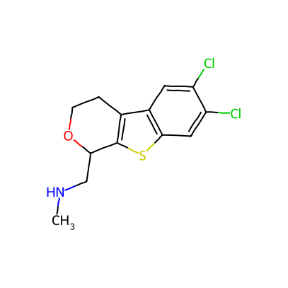 CNCC1OCCc2c1sc1cc(Cl)c(Cl)cc21